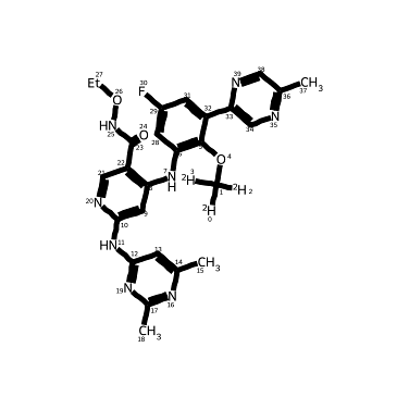 [2H]C([2H])([2H])Oc1c(Nc2cc(Nc3cc(C)nc(C)n3)ncc2C(=O)NOCC)cc(F)cc1-c1cnc(C)cn1